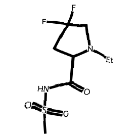 CCN1CC(F)(F)CC1C(=O)NS(C)(=O)=O